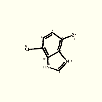 Clc1ccc(Br)c2nc[nH]c12